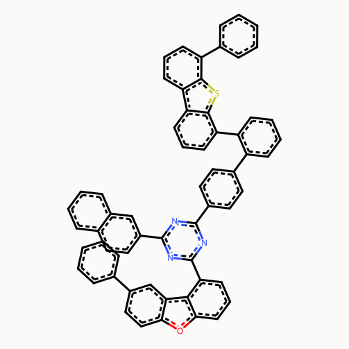 c1ccc(-c2ccc3oc4cccc(-c5nc(-c6ccc(-c7ccccc7-c7cccc8c7sc7c(-c9ccccc9)cccc78)cc6)nc(-c6ccc7ccccc7c6)n5)c4c3c2)cc1